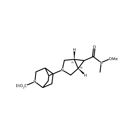 CCOC(=O)N1CC2CCC1CC2N1C[C@@H]2C(C(=O)N(C)OC)[C@@H]2C1